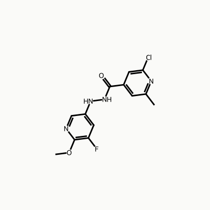 COc1ncc(NNC(=O)c2cc(C)nc(Cl)c2)cc1F